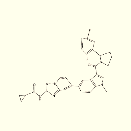 Cn1cc(C(=O)N2CCCC2c2cc(F)ccc2F)c2cc(-c3ccn4nc(NC(=O)C5CC5)nc4c3)ccc21